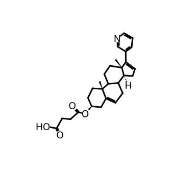 C[C@]12CC[C@H](OC(=O)CCC(=O)O)CC1=CCC1C2CC[C@]2(C)C(c3cccnc3)=CC[C@@H]12